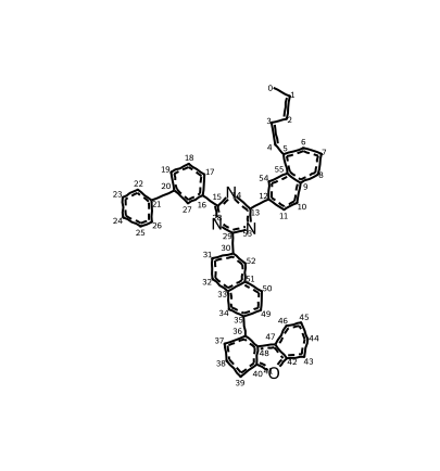 C/C=C\C=C/c1cccc2ccc(-c3nc(-c4cccc(-c5ccccc5)c4)nc(-c4ccc5cc(-c6cccc7oc8ccccc8c67)ccc5c4)n3)cc12